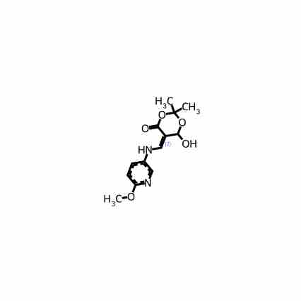 COc1ccc(N/C=C2\C(=O)OC(C)(C)OC2O)cn1